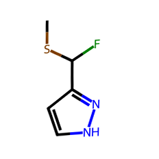 CSC(F)c1cc[nH]n1